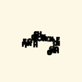 COc1cc2nn(C3CCN(Cc4cc(C5CCC(=O)NC5=O)cnc4F)CC3)cc2cc1NC(=O)c1ccc(C(F)(F)F)nc1